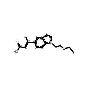 CCOCCn1ccc2cc(C(C)=CC(=O)O)ccc21